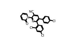 N#Cc1cc(-c2ccc(Cl)cc2)c(-c2ccc(Cl)cc2Cl)nc1-n1ccccc1=O